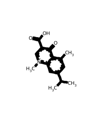 Cc1cc(C(C)C)cc2c1c(=O)c(C(=O)O)cn2C